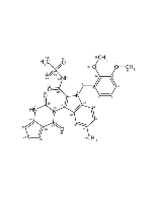 COc1cccc(Cn2c(C(=O)NS(C)(=O)=O)c(-n3c(=O)[nH]c4cscc4c3=O)c3cc(C)ccc32)c1OC